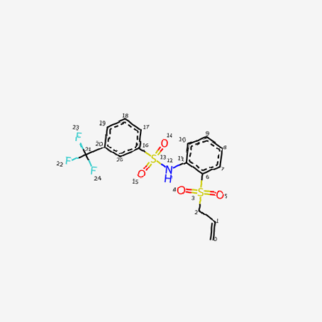 C=CCS(=O)(=O)c1ccccc1NS(=O)(=O)c1cccc(C(F)(F)F)c1